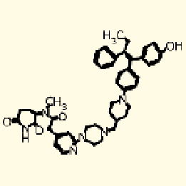 CC/C(=C(\c1ccc(O)cc1)c1ccc(N2CCC(CN3CCN(c4cc(CC(=O)N(C)C5CCC(=O)NC5=O)ccn4)CC3)CC2)cc1)c1ccccc1